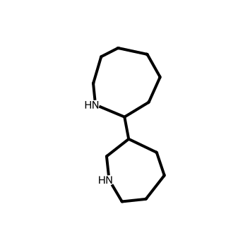 C1CCCC(C2CCCCNC2)NCC1